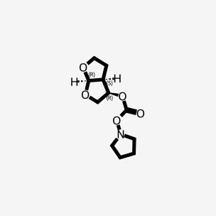 O=C(O[C@H]1CO[C@H]2OCC[C@H]21)ON1CCCC1